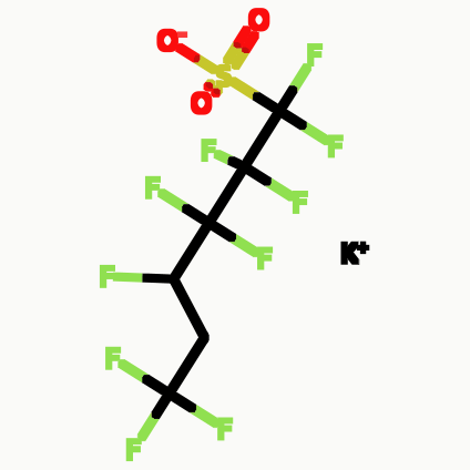 O=S(=O)([O-])C(F)(F)C(F)(F)C(F)(F)C(F)CC(F)(F)F.[K+]